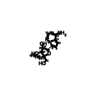 [N-]=[N+]=NC1(CO)O[C@@H](c2ccc3c(N)ncnn23)[C@H](O)[C@@H]1O